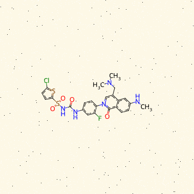 CNc1ccc2c(=O)n(-c3ccc(NC(=O)NS(=O)(=O)c4ccc(Cl)s4)cc3F)cc(CN(C)C)c2c1